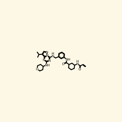 C=CC(=O)NC1CCCC(C(=O)Nc2cccc(CNc3nc(NC4CCOCC4)nc4c(C(C)C)cnn34)c2)C1